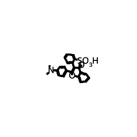 CN(C)c1ccc(-c2oc3ccccc3c(=O)c2-c2ccccc2S(=O)(=O)O)cc1